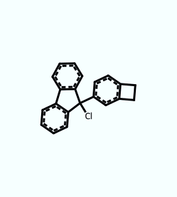 ClC1(c2ccc3c(c2)CC3)c2ccccc2-c2ccccc21